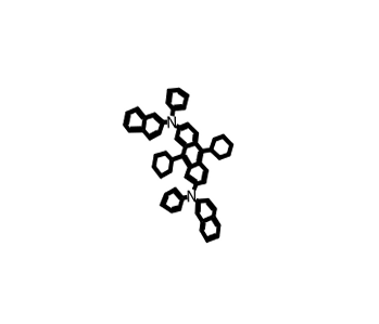 c1ccc(N(c2ccc3ccccc3c2)c2ccc3c(C4CCCCC4)c4ccc(N(c5ccccc5)c5ccc6ccccc6c5)cc4c(C4CCCCC4)c3c2)cc1